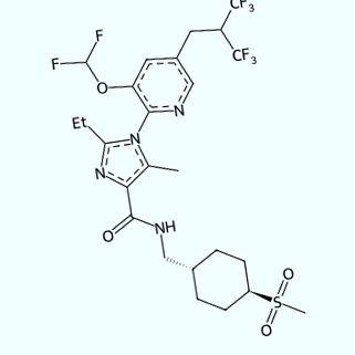 CCc1nc(C(=O)NC[C@H]2CC[C@H](S(C)(=O)=O)CC2)c(C)n1-c1ncc(CC(C(F)(F)F)C(F)(F)F)cc1OC(F)F